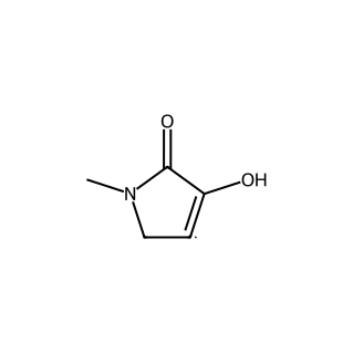 CN1C[C]=C(O)C1=O